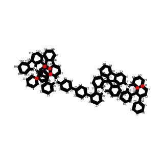 c1ccc(-c2ccccc2-c2ccccc2N(c2ccc(-c3ccc(-c4cccc5c4c4cccc6c4n5-c4ccccc4C64c5ccccc5-c5ccc(N(c6ccccc6)c6ccccc6-c6ccccc6-c6ccccc6)cc54)cc3)cc2)c2ccc3c(c2)C2(c4ccccc4-3)c3ccccc3-n3c4ccccc4c4cccc2c43)cc1